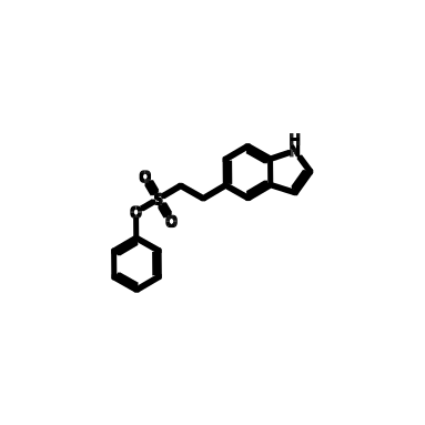 O=S(=O)(CCc1ccc2[nH]ccc2c1)Oc1ccccc1